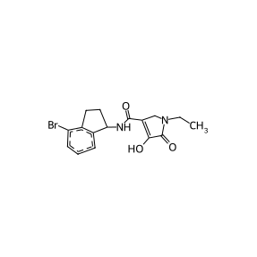 CCN1CC(C(=O)NC2CCc3c(Br)cccc32)=C(O)C1=O